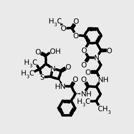 COC(=O)Oc1cccc2c(=O)n(CC(=O)NC(CC(C)C)C(=O)N[C@@H](C(=O)N[C@@H]3C(=O)N4C3SC(C)(C)C4C(=O)O)c3ccccc3)c(=O)oc12